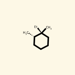 CC[C@@]1(C)CCCC[C@@H]1C